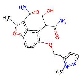 Cc1oc2ccc(OCc3ccnn3C)c(C(CO)C(N)=O)c2c1C(N)=O